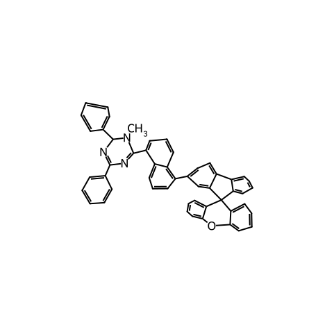 CN1C(c2cccc3c(-c4ccc5c(c4)C4(c6ccccc6Oc6ccccc64)c4ccccc4-5)cccc23)=NC(c2ccccc2)=NC1c1ccccc1